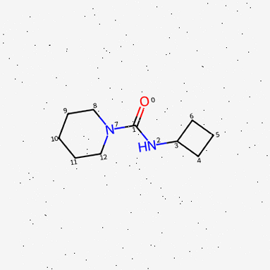 O=C(NC1CCC1)N1CCCCC1